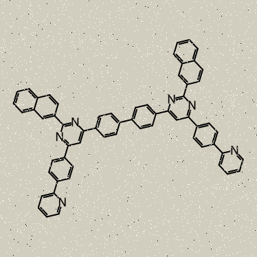 c1ccc(-c2ccc(-c3cc(-c4ccc(-c5ccc(-c6cc(-c7ccc(-c8ccccn8)cc7)nc(-c7ccc8ccccc8c7)n6)cc5)cc4)nc(-c4ccc5ccccc5c4)n3)cc2)nc1